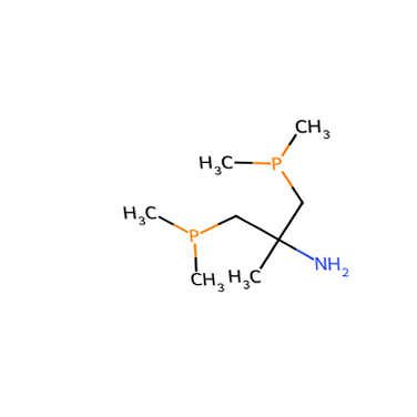 CP(C)CC(C)(N)CP(C)C